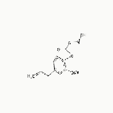 C=CCc1cc(OC)c2c(c1)OC(N=NO)O2